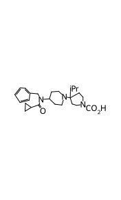 CC(C)C1(N2CCC(N(Cc3ccccc3)C(=O)C3CC3)CC2)CCN(C(=O)O)CC1